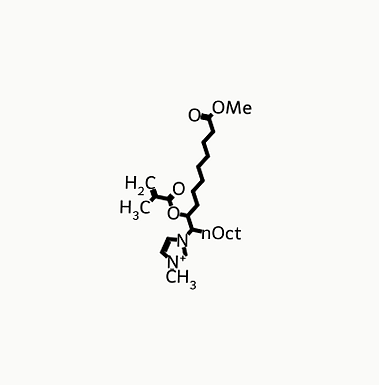 C=C(C)C(=O)OC(CCCCCCCC(=O)OC)C(CCCCCCCC)n1cc[n+](C)c1